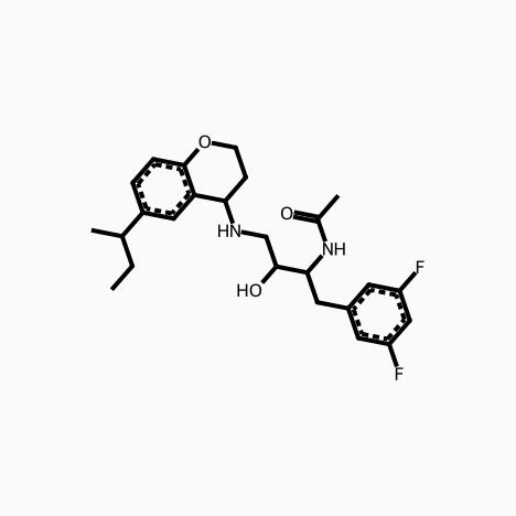 CCC(C)c1ccc2c(c1)C(NCC(O)C(Cc1cc(F)cc(F)c1)NC(C)=O)CCO2